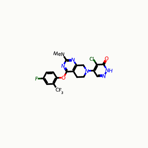 CNc1nc2c(c(Oc3ccc(F)cc3C(F)(F)F)n1)CCN(c1cn[nH]c(=O)c1Cl)C2